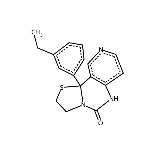 CCc1cccc(C23SCCN2C(=O)Nc2ccncc23)c1